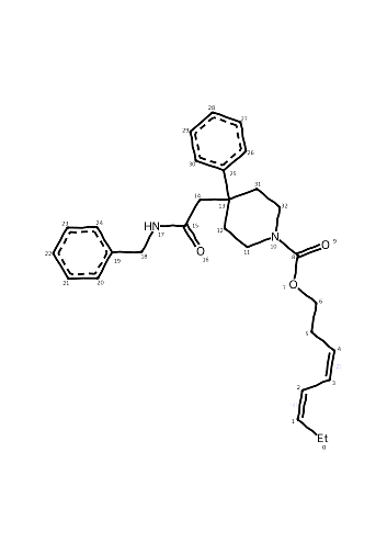 CC/C=C\C=C/CCOC(=O)N1CCC(CC(=O)NCc2ccccc2)(c2ccccc2)CC1